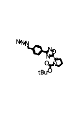 CC(C)(C)OC(=O)N1CCC[C@H]1c1nc(-c2ccc(CN=[N+]=[N-])cc2)no1